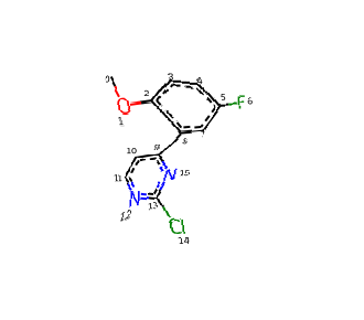 COc1ccc(F)cc1-c1ccnc(Cl)n1